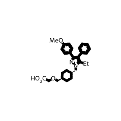 CCc1c(-c2ccccc2)c(-c2ccc(OC)cc2)nn1C[C@H]1CC[C@H](COCC(=O)O)CC1